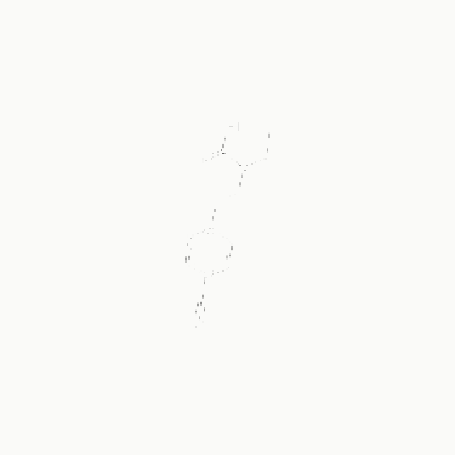 CCN(CCc1ccc(C#N)cn1)C(=O)O